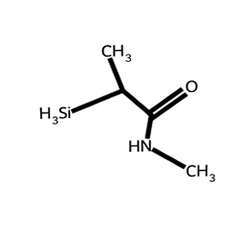 CNC(=O)C(C)[SiH3]